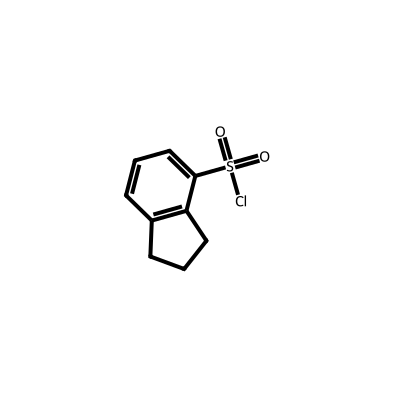 O=S(=O)(Cl)c1cccc2c1CCC2